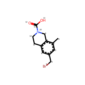 Cc1cc(CBr)cc2c1CN(C(=O)O)CC2